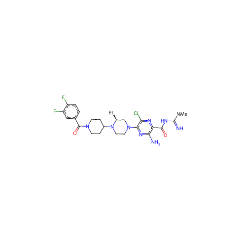 CC[C@H]1CN(c2nc(N)c(C(=O)NC(=N)NC)nc2Cl)CCN1C1CCN(C(=O)c2ccc(F)c(F)c2)CC1